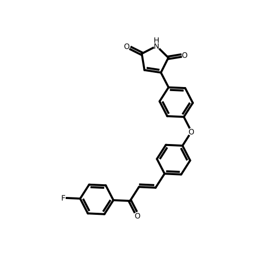 O=C1C=C(c2ccc(Oc3ccc(C=CC(=O)c4ccc(F)cc4)cc3)cc2)C(=O)N1